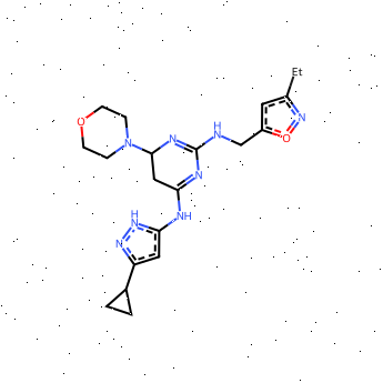 CCc1cc(CNC2=NC(N3CCOCC3)CC(Nc3cc(C4CC4)n[nH]3)=N2)on1